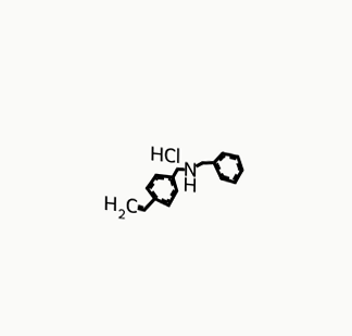 C=Cc1ccc(CNCc2ccccc2)cc1.Cl